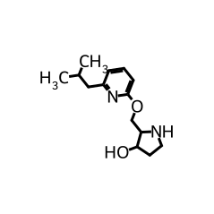 CC(C)Cc1cccc(OCC2NCCC2O)n1